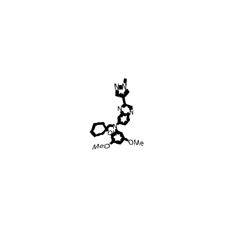 COc1cc(OC)cc(N(CC2(O)CCCCC2)c2ccc3ncc(-c4cnn(C)c4)nc3c2)c1